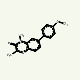 Cn1c(=O)c(C(F)(F)F)nc2ccc(-c3ccc(OC(F)(F)F)cc3)cc21